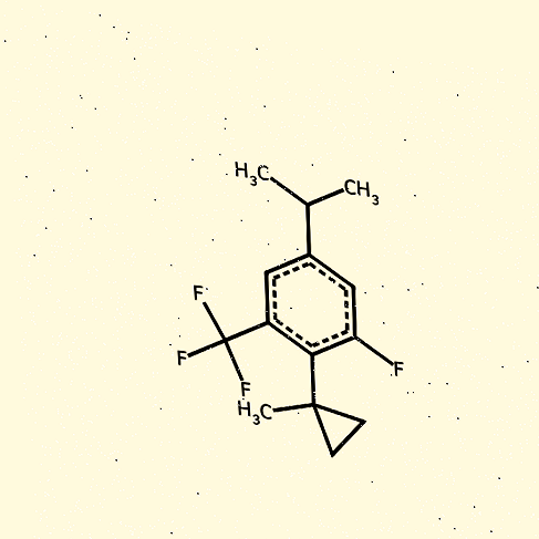 CC(C)c1cc(F)c(C2(C)CC2)c(C(F)(F)F)c1